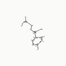 Cc1ccc(N(C)CCN(C)I)nc1